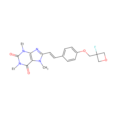 CCn1c(=O)c2c(nc(C=Cc3ccc(OCC4(F)COC4)cc3)n2C)n(CC)c1=O